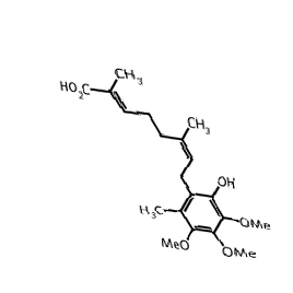 COc1c(C)c(CC=C(C)CCC=C(C)C(=O)O)c(O)c(OC)c1OC